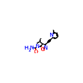 Cc1cccc(C#CC2=NOC3C2C(C)CN3C(N)=O)n1